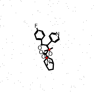 CC(C)(C)OC(=O)N1C2CCC1CC(C(=O)CC(C(=O)c1ccc(F)cc1)c1ccncc1)C2